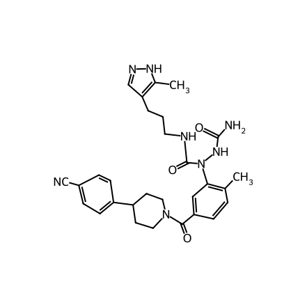 Cc1ccc(C(=O)N2CCC(c3ccc(C#N)cc3)CC2)cc1N(NC(N)=O)C(=O)NCCCc1cn[nH]c1C